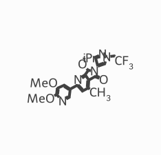 COc1cc(-c2cc(C)c3c(n2)C(OC(C)C)N(c2cnn(CC(F)(F)F)c2)C3=O)cnc1OC